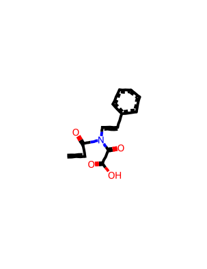 C=CC(=O)N(C=Cc1ccccc1)C(=O)C(=O)O